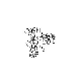 CC1CC2CCCC(C2)C12OCC(COC(=O)C13CCCC(C1)C1(OCC(F)(F)C(F)(F)CO1)C(C)C3)(COC(=O)C13CCCC(C1)C1(OCC(F)(F)C(F)(F)CO1)C(C)C3)CO2